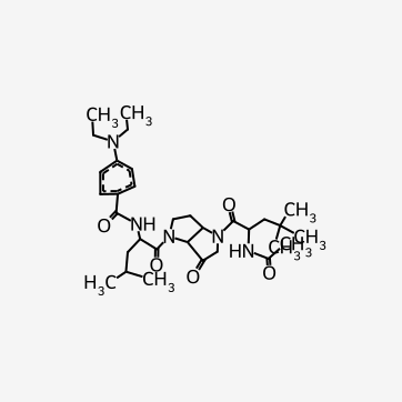 CCN(CC)c1ccc(C(=O)NC(CC(C)C)C(=O)N2CCC3C2C(=O)CN3C(=O)C(CC(C)(C)C)NC(C)=O)cc1